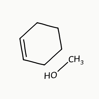 C1=CCCCC1.CO